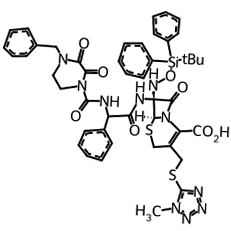 Cn1nnnc1SCC1=C(C(=O)O)N2C(=O)[C@@](NO[Si](c3ccccc3)(c3ccccc3)C(C)(C)C)(NC(=O)C(NC(=O)N3CCN(Cc4ccccc4)C(=O)C3=O)c3ccccc3)[C@@H]2SC1